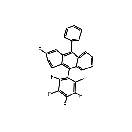 Fc1ccc2c(-c3c(F)c(F)c(F)c(F)c3F)c3ccccc3c(-c3ccccc3)c2c1